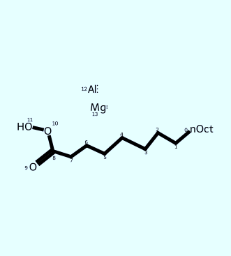 CCCCCCCCCCCCCCCC(=O)OO.[Al].[Mg]